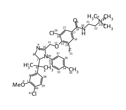 COc1cc(C(C)(C)C2CN=C(COc3c(F)cc(C(=O)NCC[N+](C)(C)C)cc3Cl)N2c2ccc(C)cc2)ccc1Cl